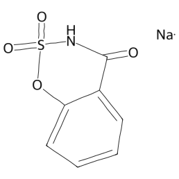 O=C1NS(=O)(=O)Oc2ccccc21.[Na]